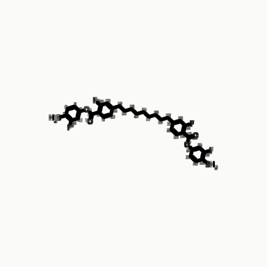 Bc1ccc(OC(=O)c2ccc(CCCCCCCCCc3ccc(C(=O)Oc4ccc(B)c(F)c4)c(F)c3)cc2F)cc1F